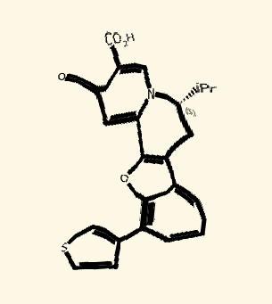 CC(C)[C@@H]1Cc2c(oc3c(-c4ccsc4)cccc23)-c2cc(=O)c(C(=O)O)cn21